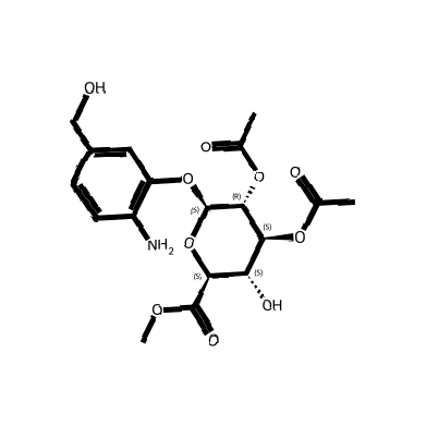 COC(=O)[C@H]1O[C@@H](Oc2cc(CO)ccc2N)[C@H](OC(C)=O)[C@@H](OC(C)=O)[C@@H]1O